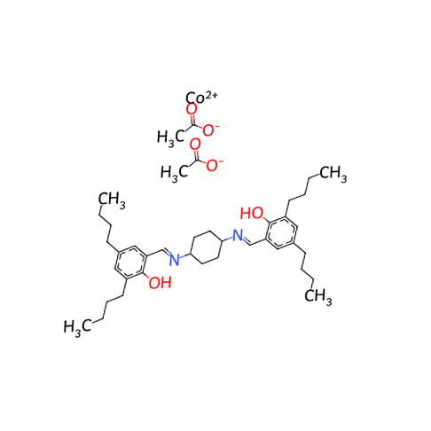 CC(=O)[O-].CC(=O)[O-].CCCCc1cc(C=NC2CCC(N=Cc3cc(CCCC)cc(CCCC)c3O)CC2)c(O)c(CCCC)c1.[Co+2]